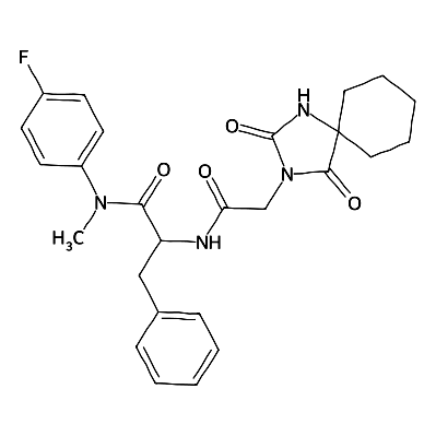 CN(C(=O)C(Cc1ccccc1)NC(=O)CN1C(=O)NC2(CCCCC2)C1=O)c1ccc(F)cc1